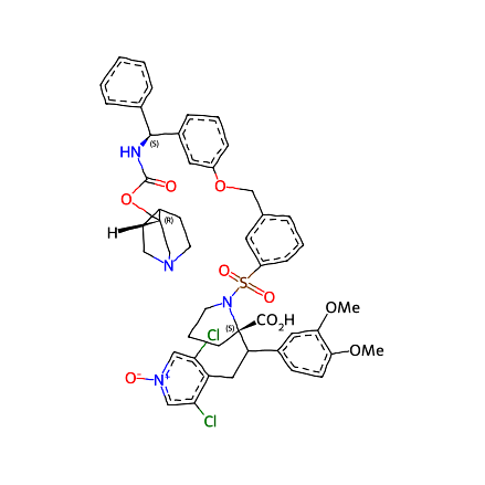 COc1ccc(C(Cc2c(Cl)c[n+]([O-])cc2Cl)[C@]2(C(=O)O)CCCN2S(=O)(=O)c2cccc(COc3cccc([C@@H](NC(=O)O[C@H]4CN5CCC4CC5)c4ccccc4)c3)c2)cc1OC